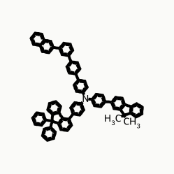 CC1(C)c2ccccc2-c2ccc(-c3ccc(N(c4ccc(-c5ccc(-c6cccc(-c7ccc8ccccc8c7)c6)cc5)cc4)c4ccc(-c5cccc6c5-c5ccccc5C6(c5ccccc5)c5ccccc5)cc4)cc3)cc21